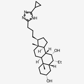 CC[C@H]1[C@@H](O)[C@@H]2[C@H](CC[C@]3(C)[C@@H](CCCc4nnc(C5CC5)[nH]4)CC[C@@H]23)[C@@]2(C)CC[C@@H](O)C[C@@H]12